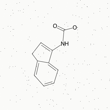 [O]C(=O)NC1=CCc2ccccc21